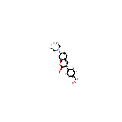 CCN(CC)c1ccc2cc(-c3ccc(CBr)cc3)c(=O)oc2c1